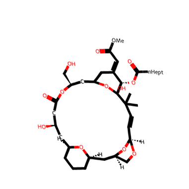 CCCCCCCC(=O)O[C@H]1/C(=C/C(=O)OC)CC2C[C@H](CO)OC(=O)C[C@H](O)C[C@@H]3CCC[C@H](C[C@@H]4CO[C@H](/C=C/C(C)(C)C1(O)O2)O4)O3